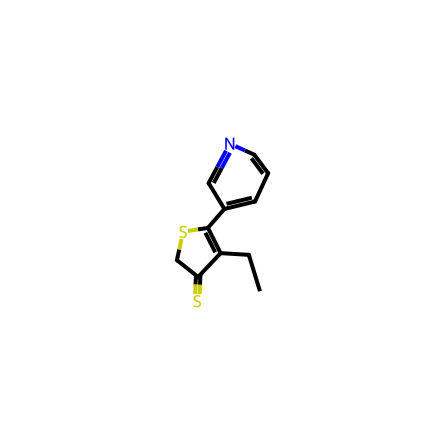 CCC1=C(c2cccnc2)SCC1=S